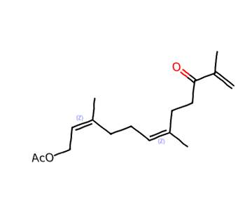 C=C(C)C(=O)CC/C(C)=C\CC/C(C)=C\COC(C)=O